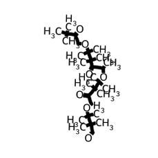 CC(OC(C)(C)C(C)(C)C(=O)COC(C)(C)C(C)(C)C=O)C(=O)C(C)(C)C(C)(C)OCC(=O)C(C)(C)C